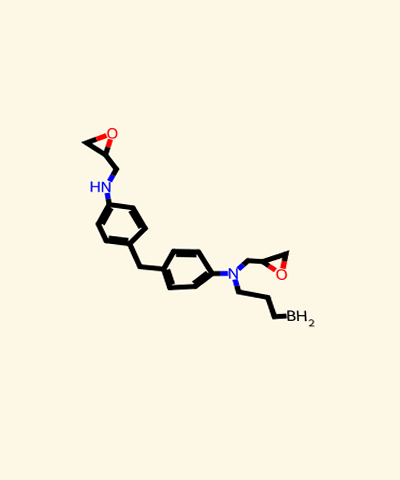 BCCCN(CC1CO1)c1ccc(Cc2ccc(NCC3CO3)cc2)cc1